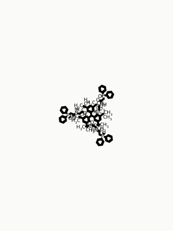 CC(C)(C)c1cc(C(c2cc(C(C)(C)C)cc(C(C)(C)C)c2OCCNC(=O)CP(=O)(c2ccccc2)c2ccccc2)c2cc(C(C)(C)C)cc(C(C)(C)C)c2OCCNC(=O)CP(=O)(c2ccccc2)c2ccccc2)c(OCCNC(=O)CP(=O)(c2ccccc2)c2ccccc2)c(C(C)(C)C)c1